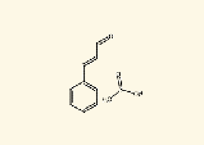 O=CC=Cc1ccccc1.O=S(O)O